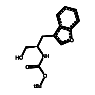 CC(C)(C)OC(=O)N[C@@H](CO)Cc1coc2ccccc12